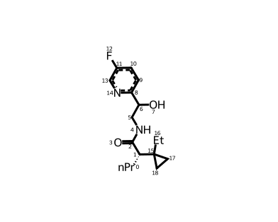 CCC[C@H](C(=O)NCC(O)c1ccc(F)cn1)C1(CC)CC1